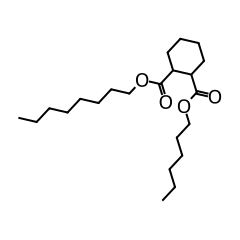 CCCCCCCCOC(=O)C1CCCCC1C(=O)OCCCCCC